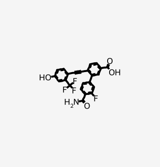 NC(=O)c1ccc(-c2cc(C(=O)O)ccc2C#Cc2ccc(O)cc2C(F)(F)F)cc1F